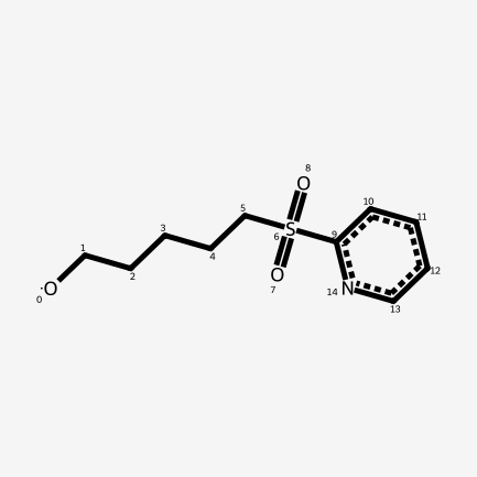 [O]CCCCCS(=O)(=O)c1ccccn1